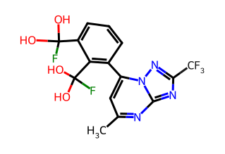 Cc1cc(-c2cccc(C(O)(O)F)c2C(O)(O)F)n2nc(C(F)(F)F)nc2n1